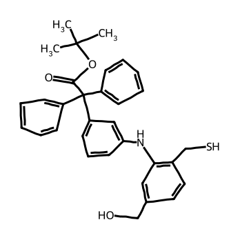 CC(C)(C)OC(=O)C(c1ccccc1)(c1ccccc1)c1cccc(Nc2cc(CO)ccc2CS)c1